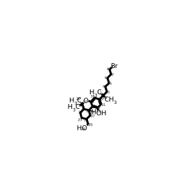 CC(C)(CCCCCCBr)c1cc(O)c2c(c1)OC(C)(C)C1CCC(CO)C[C@@H]21